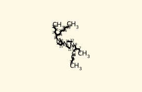 CCCCCCC(CC)CN1CCN([C@@H]2CCN(CC(CCCC)CCCCCC)C2)CC1